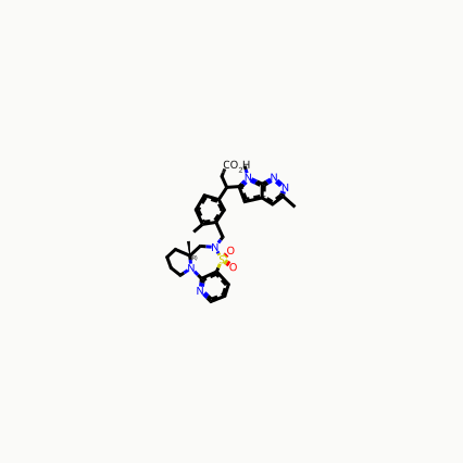 Cc1cc2cc(C(CC(=O)O)c3ccc(C)c(CN4C[C@@]5(C)CCCCN5c5ncccc5S4(=O)=O)c3)n(C)c2nn1